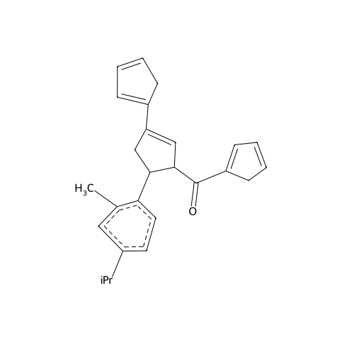 Cc1cc(C(C)C)ccc1C1CC(C2=CC=CC2)=CC1C(=O)C1=CC=CC1